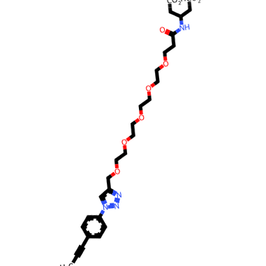 CC#Cc1ccc(-n2cc(COCCOCCOCCOCCOCCC(=O)NC(CC(=O)O)CC(=O)O)nn2)cc1